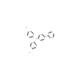 COc1ccc(N(c2ccc(OC)cc2)c2ccc(-c3cc[c]cc3)cc2)cc1